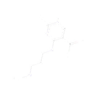 O=C(O)NCCCNc1nc(Cl)ncc1C(=O)F